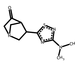 CN(C)c1nsc(C2CN3CC(=O)C2C3)n1